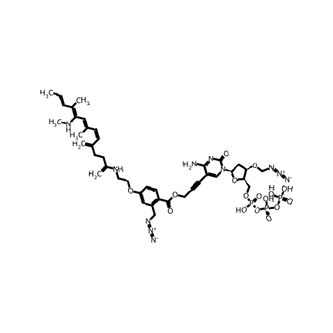 C=C(\C=C/C(C)=C/C(NC)=C(C)/C=C/C)CCC(=C)NCCOc1ccc(C(=O)OCC#Cc2cn([C@H]3C[C@@H](OCN=[N+]=[N-])[C@@H](COP(=O)(O)OP(=O)(O)OP(=O)(O)O)O3)c(=O)nc2N)c(CN=[N+]=[N-])c1